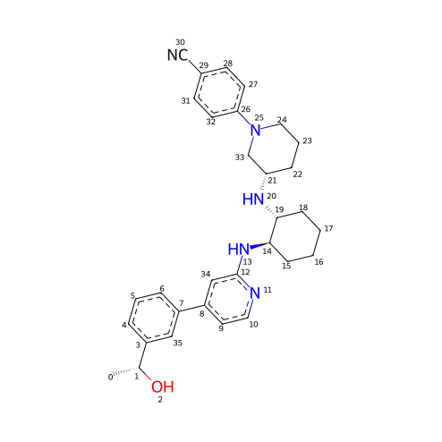 C[C@@H](O)c1cccc(-c2ccnc(N[C@@H]3CCCC[C@H]3N[C@H]3CCCN(c4ccc(C#N)cc4)C3)c2)c1